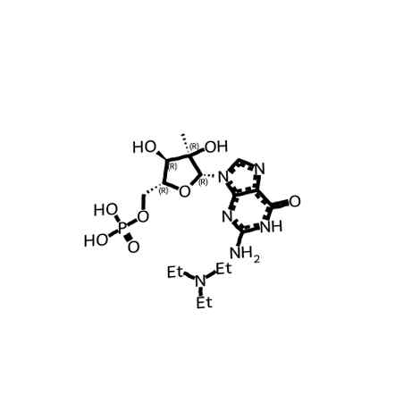 CCN(CC)CC.C[C@@]1(O)[C@H](O)[C@@H](COP(=O)(O)O)O[C@H]1n1cnc2c(=O)[nH]c(N)nc21